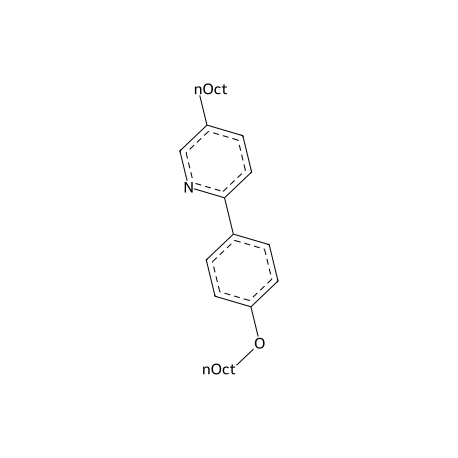 CCCCCCCCOc1ccc(-c2ccc(CCCCCCCC)cn2)cc1